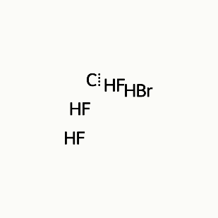 Br.F.F.F.[C]